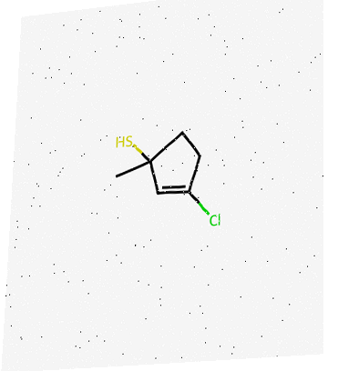 CC1(S)C=C(Cl)CC1